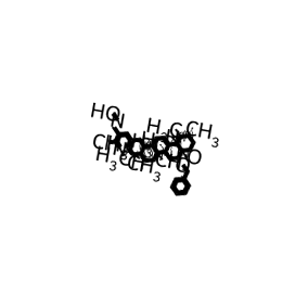 C[C@H]1[C@H](C)CC[C@]2(C(=O)OCc3ccccc3)CC[C@]3(C)C(=CC[C@@H]4[C@@]5(C)Cc6cc(C=NO)c(Cl)nc6C(C)(C)[C@@H]5CC[C@]43C)[C@H]12